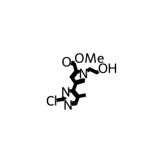 COC(=O)c1cc(-c2nc(Cl)ncc2C)cn1CCO